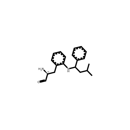 CC(C)CC(Nc1ccccc1C[C@H](N)C=O)c1ccccc1